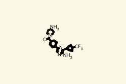 Nc1ncc(-c2ccc(C(=O)N3CCC(N)CC3)cc2)nc1-c1ccc(C(F)(F)F)cc1